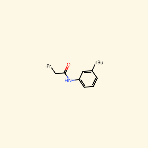 CCCCc1cccc(NC(=O)C[C](C)C)c1